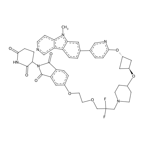 Cn1c2ccncc2c2ccc(-c3ccc(O[C@H]4C[C@H](OC5CCN(CC(F)(F)COCCOc6ccc7c(c6)C(=O)N(C6CCC(=O)NC6=O)C7=O)CC5)C4)nc3)cc21